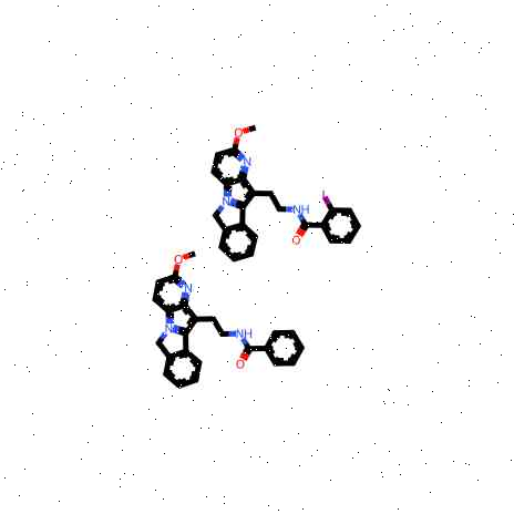 COc1ccc2c(n1)c(CCNC(=O)c1ccccc1)c1n2Cc2ccccc2-1.COc1ccc2c(n1)c(CCNC(=O)c1ccccc1I)c1n2Cc2ccccc2-1